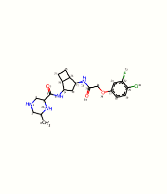 CC1CNCC(C(=O)NC2C[C@H](NC(=O)COc3ccc(Cl)c(F)c3)C3CCC23)N1